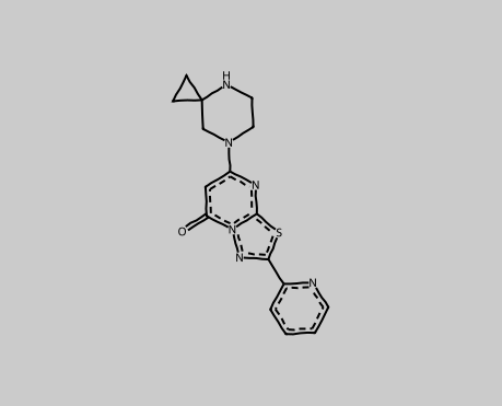 O=c1cc(N2CCNC3(CC3)C2)nc2sc(-c3ccccn3)nn12